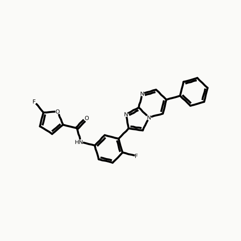 O=C(Nc1ccc(F)c(-c2cn3cc(-c4ccccc4)cnc3n2)c1)c1ccc(F)o1